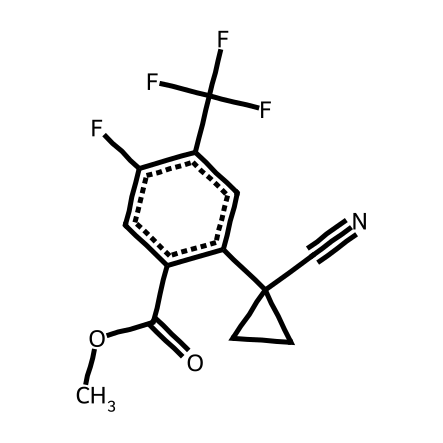 COC(=O)c1cc(F)c(C(F)(F)F)cc1C1(C#N)CC1